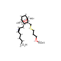 CCCCCCCCOCCCSC[C@H]1[C@@H](C/C=C\CCCC(=O)O)[C@H]2CC[C@@H]1O2